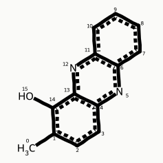 Cc1ccc2nc3ccccc3nc2c1O